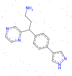 NCCC(c1ccc(-c2cn[nH]c2)cc1)c1cnccn1